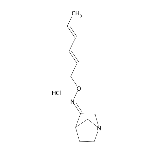 CC=CC=CCON=C1CN2CCC1C2.Cl